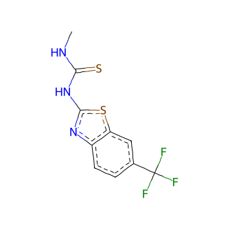 CNC(=S)Nc1nc2ccc(C(F)(F)F)cc2s1